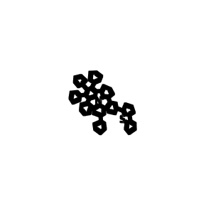 c1ccc(-c2ccc(-n3c4c(-c5cccc(-c6cccc7c6sc6ccccc67)c5)cccc4c4c(-c5ccccc5)c(-c5ccccc5)c(-c5ccccc5)c(-c5ccccc5)c43)cc2)cc1